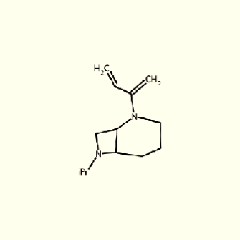 C=CC(=C)N1CCCC2C1CN2C(C)C